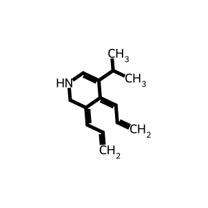 C=C/C=C1/CNC=C(C(C)C)/C1=C/C=C